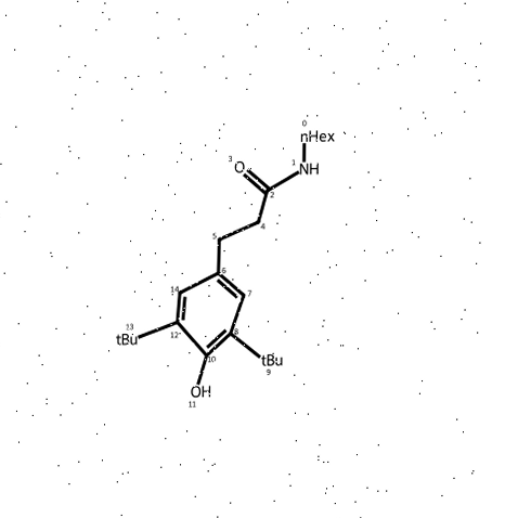 CCCCCCNC(=O)CCc1cc(C(C)(C)C)c(O)c(C(C)(C)C)c1